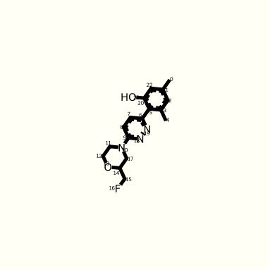 Cc1cc(C)c(-c2ccc(N3CCOC(CF)C3)nn2)c(O)c1